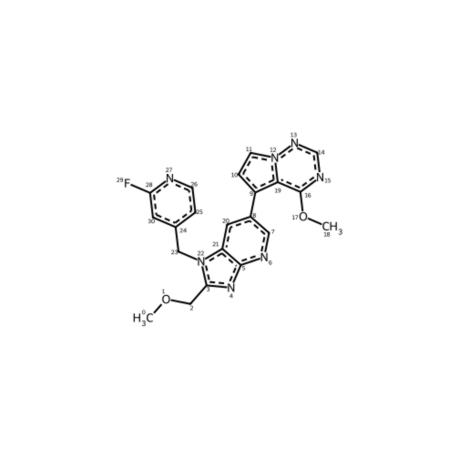 COCc1nc2ncc(-c3ccn4ncnc(OC)c34)cc2n1Cc1ccnc(F)c1